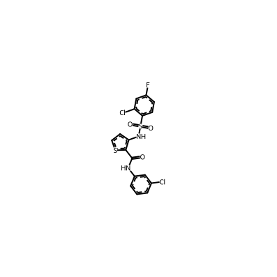 O=C(Nc1cccc(Cl)c1)c1sccc1NS(=O)(=O)c1ccc(F)cc1Cl